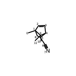 CC12C=CC(C(C#N)C1)C2(C)C